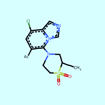 CC(=O)c1cc(Cl)c2cncn2c1N1CCS(=O)(=O)C(C)C1